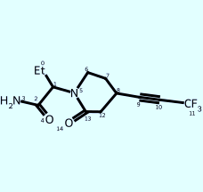 CCC(C(N)=O)N1CCC(C#CC(F)(F)F)CC1=O